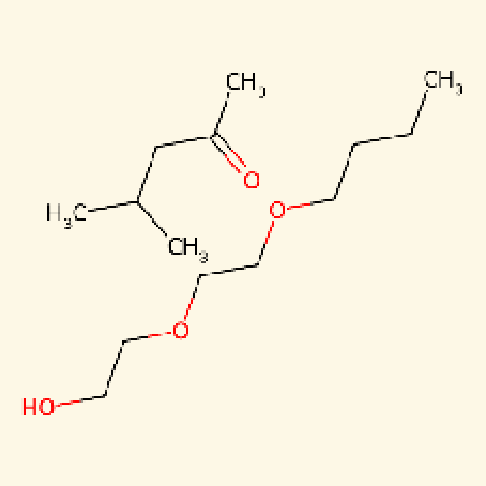 CC(=O)CC(C)C.CCCCOCCOCCO